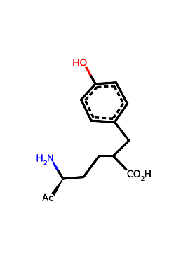 CC(=O)[C@@H](N)CCC(Cc1ccc(O)cc1)C(=O)O